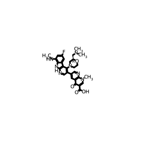 CNc1cc(F)cc2c1[nH]c1ncc(-c3cnc4c(c3)c(=O)c(C(=O)O)cn4C)c(N3CCO[C@H](CN(C)C)C3)c12